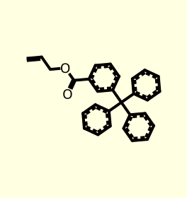 C=CCOC(=O)c1cccc(C(c2ccccc2)(c2ccccc2)c2ccccc2)c1